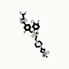 CS(=O)(=O)N1CC(N2CCN(CCS(=O)(=O)N(Cc3ccc(-c4nnc(C(F)F)o4)cc3F)c3ccc(F)c(Cl)c3)CC2)C1